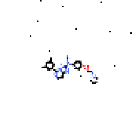 Cc1cc(C)cc(-c2nccc3nc(Nc4ccc(OCCN5CCCC5)cc4)nn23)c1